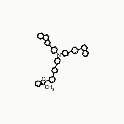 Cc1c(-c2cccc(-c3ccc(-c4ccc(N(c5ccc(-c6ccc(-c7cccc8ccccc78)cc6)cc5)c5ccc(-c6ccc7c(ccc8ccccc87)c6)cc5)cc4)cc3)c2)oc2ccccc12